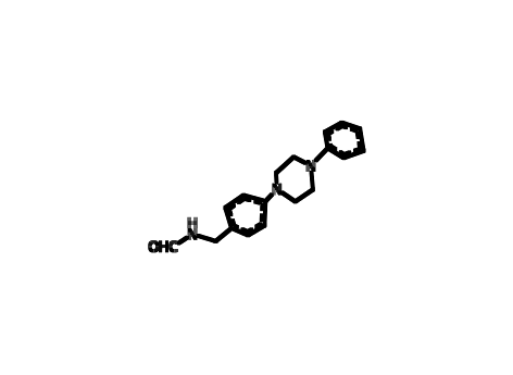 O=CNCc1ccc(N2CCN(c3ccccc3)CC2)cc1